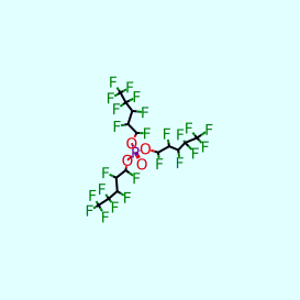 O=P(OC(F)C(F)C(F)C(F)(F)C(F)(F)F)(OC(F)C(F)C(F)C(F)(F)C(F)(F)F)OC(F)C(F)C(F)C(F)(F)C(F)(F)F